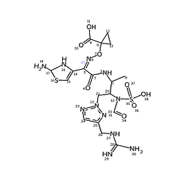 CC(NC(=O)/C(=N\OC1(C(=O)O)CC1)C1=CSC(N)N1)C(Cn1ncc(CNC(=N)N)n1)N(C=O)S(=O)(=O)O